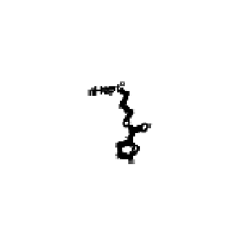 CCCCCCCCCCOC(=O)c1ccco1